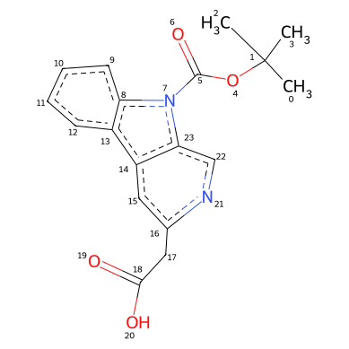 CC(C)(C)OC(=O)n1c2ccccc2c2cc(CC(=O)O)ncc21